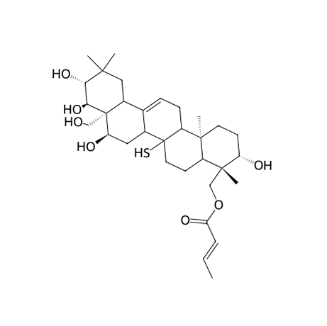 C/C=C/C(=O)OC[C@]1(C)C2CCC3(S)C4C[C@@H](O)[C@]5(CO)C(CC(C)(C)[C@@H](O)[C@@H]5O)C4=CCC3[C@@]2(C)CC[C@@H]1O